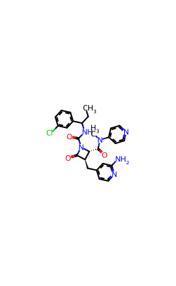 CCC(NC(=O)N1C(=O)[C@H](Cc2ccnc(N)c2)[C@H]1C(=O)N(C)c1ccncc1)c1cccc(Cl)c1